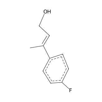 C/C(=C\CO)c1ccc(F)cc1